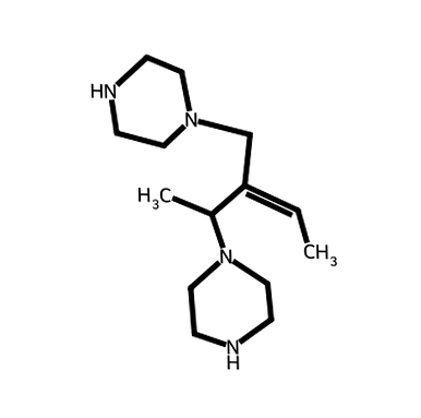 CC=C(CN1CCNCC1)C(C)N1CCNCC1